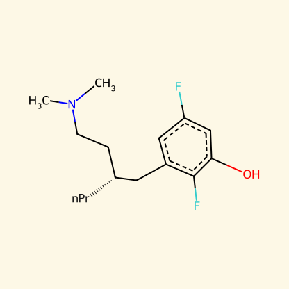 CCC[C@H](CCN(C)C)Cc1cc(F)cc(O)c1F